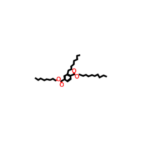 CCCCCCCCCCOC(=O)c1ccc(C(=O)OCCCCCCCC)cc1CCCCCCCC